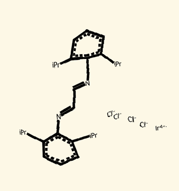 CC(C)c1cccc(C(C)C)c1N=CC=Nc1c(C(C)C)cccc1C(C)C.[Cl-].[Cl-].[Cl-].[Cl-].[Ir+4]